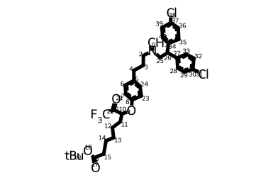 CN(CCCc1ccc(OC(CCCCCC(=O)OC(C)(C)C)C(=O)C(F)(F)F)cc1)CC(c1ccc(Cl)cc1)c1ccc(Cl)cc1